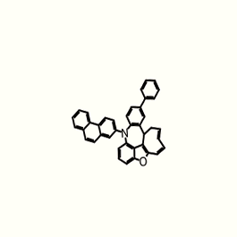 C1=C\c2oc3cccc4c3c2C(C/C=C/1)c1cc(-c2ccccc2)ccc1N4c1ccc2c(ccc3ccccc32)c1